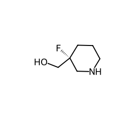 OC[C@@]1(F)CCCNC1